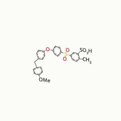 COc1ccc(Cc2ccc(Oc3ccc(S(=O)(=O)c4ccc(C)c(S(=O)(=O)O)c4)cc3)cc2)cc1